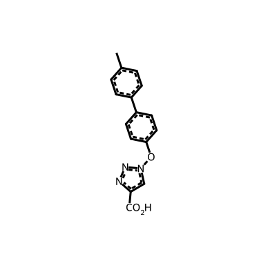 Cc1ccc(-c2ccc(On3cc(C(=O)O)nn3)cc2)cc1